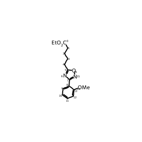 CCOC(=O)CCCCc1nc(-c2ccccc2OC)no1